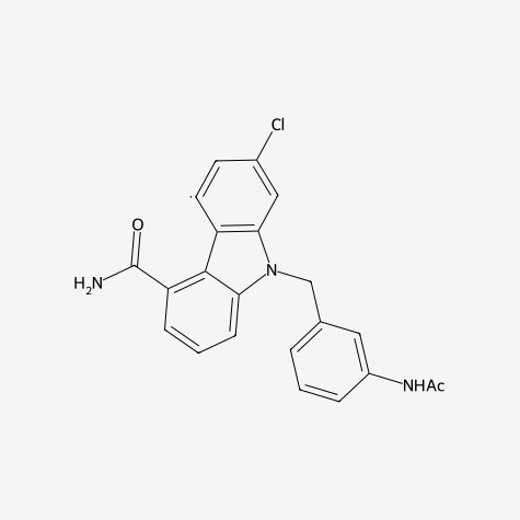 CC(=O)Nc1cccc(Cn2c3cc(Cl)c[c]c3c3c(C(N)=O)cccc32)c1